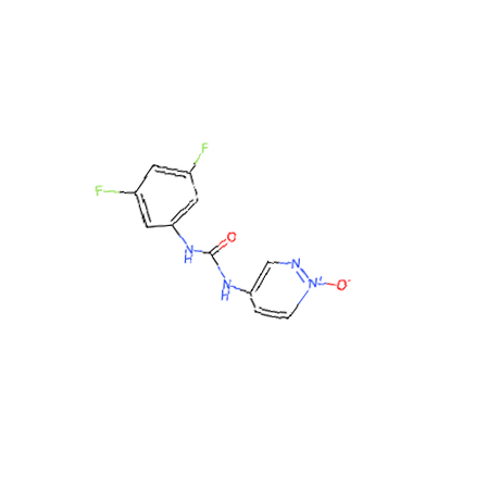 O=C(Nc1cc[n+]([O-])nc1)Nc1cc(F)cc(F)c1